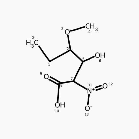 CCC(OC)C(O)C(C(=O)O)[N+](=O)[O-]